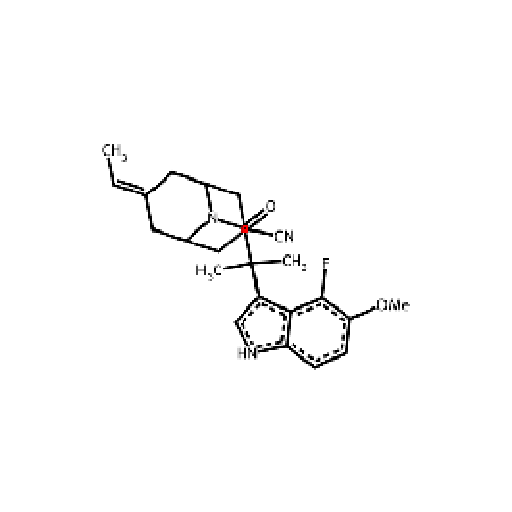 CC=C1CC2CC(C#N)CC(C1)N2C(=O)C(C)(C)c1c[nH]c2ccc(OC)c(F)c12